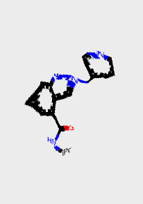 CC(C)NC(=O)c1cccc2nn(-c3cccnc3)cc12